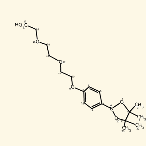 CC1(C)OB(c2ccc(OCCOCCOCC(=O)O)cc2)OC1(C)C